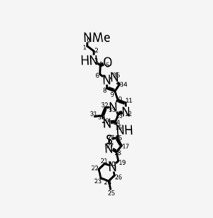 CNCCNC(=O)Cn1cc(-c2cnc3c(Nc4cc(CN5CCCC(C)C5)ns4)nc(C)cn23)cn1